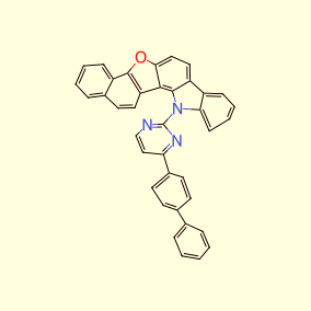 c1ccc(-c2ccc(-c3ccnc(-n4c5ccccc5c5ccc6oc7c8ccccc8ccc7c6c54)n3)cc2)cc1